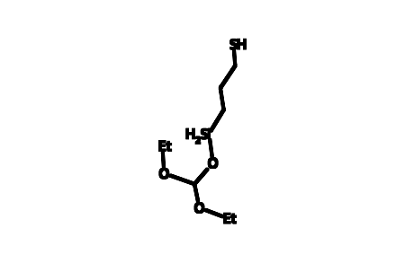 CCOC(OCC)O[SiH2]CCCS